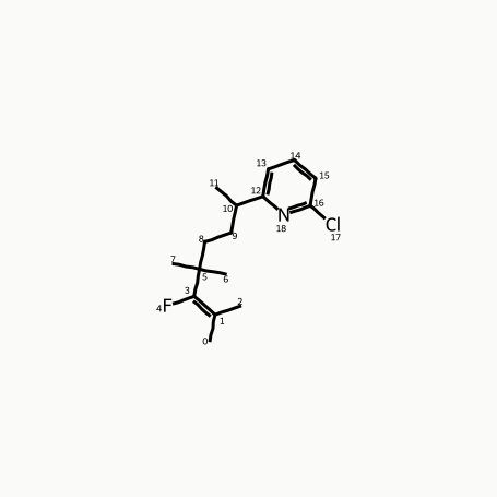 CC(C)=C(F)C(C)(C)CCC(C)c1cccc(Cl)n1